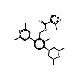 Cc1cc(-c2ccc(C3CC(C)OC(C)C3)c(F)c2CNC(=O)c2conc2C)cc(C)n1